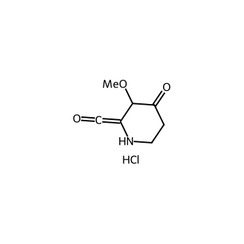 COC1C(=O)CCNC1=C=O.Cl